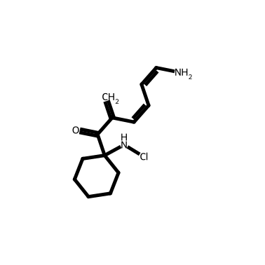 C=C(/C=C\C=C/N)C(=O)C1(NCl)CCCCC1